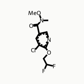 CON(C)C(=O)c1cnc(OCC(F)F)c(Cl)c1